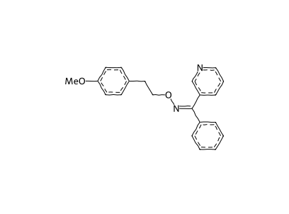 COc1ccc(CCON=C(c2ccccc2)c2cccnc2)cc1